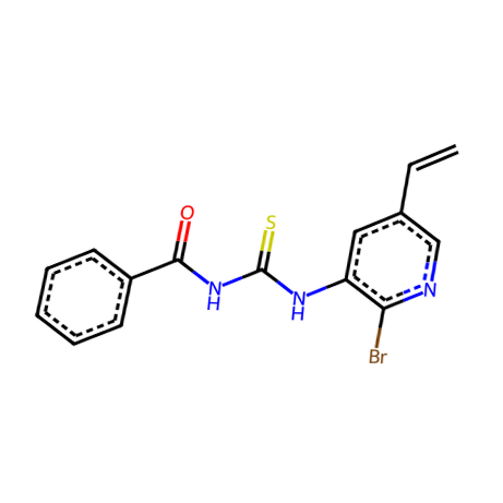 C=Cc1cnc(Br)c(NC(=S)NC(=O)c2ccccc2)c1